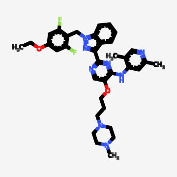 CCOc1cc(F)c(Cn2nc(-c3ncc(OCCCN4CCN(C)CC4)c(Nc4cc(C)ncc4C)n3)c3ccccc32)c(F)c1